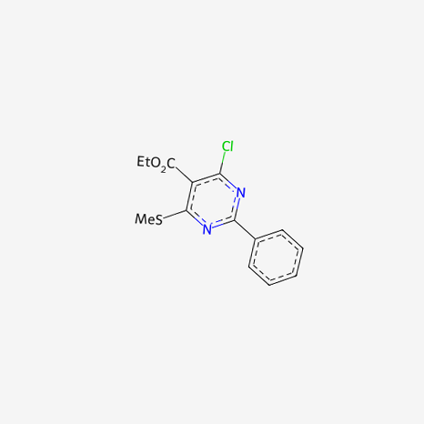 CCOC(=O)c1c(Cl)nc(-c2ccccc2)nc1SC